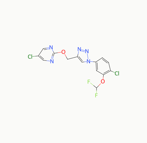 FC(F)Oc1cc(-n2cc(COc3ncc(Cl)cn3)nn2)ccc1Cl